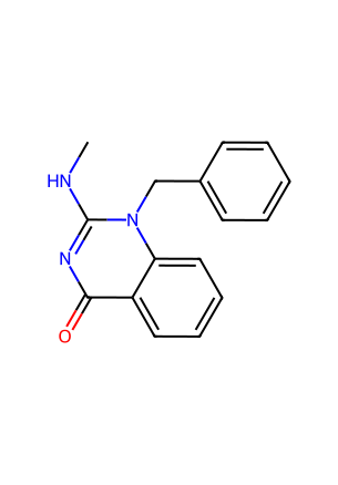 CNc1nc(=O)c2ccccc2n1Cc1ccccc1